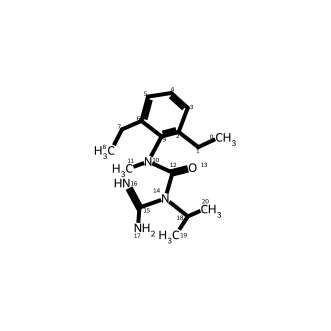 CCc1cccc(CC)c1N(C)C(=O)N(C(=N)N)C(C)C